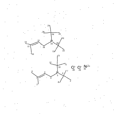 CC(C)=CCP(C(C)(C)C)C(C)(C)C.CC(C)=CCP(C(C)(C)C)C(C)(C)C.[Cl-].[Cl-].[Ni+2]